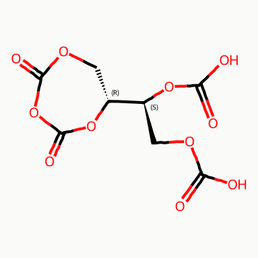 O=C(O)OC[C@H](OC(=O)O)[C@H]1COC(=O)OC(=O)O1